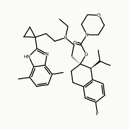 CCN(CCC1(c2nc3c(C)ccc(C)c3[nH]2)CC1)CC[C@@]1(OC(=O)N2CCOCC2)CCc2cc(F)ccc2[C@@H]1C(C)C